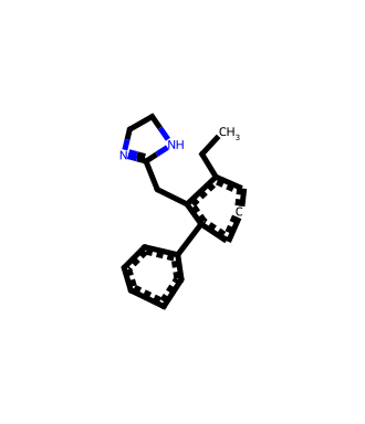 CCc1cccc(-c2ccccc2)c1CC1=NCCN1